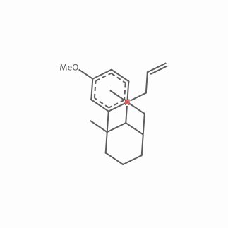 C=CCN(C)C1C2CCCC1(C)c1cc(OC)ccc1C2